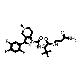 CN1CCc2c(c(-c3cc(F)c(F)cc3F)nn2C(=O)N[C@H](C(=O)NCCC(N)=O)C(C)(C)C)C1